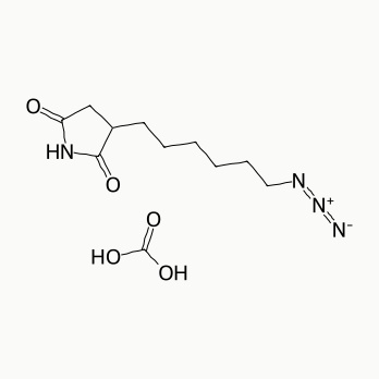 O=C(O)O.[N-]=[N+]=NCCCCCCC1CC(=O)NC1=O